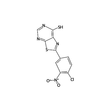 O=[N+]([O-])c1cc(-c2nc3c(S)ncnc3s2)ccc1Cl